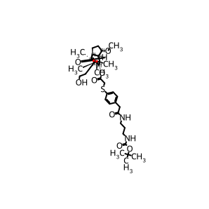 CO[C@@H]1CC[C@]23CC[C@@H](C)[C@](C)([C@H]12)[C@H](OC(=O)CSc1ccc(CC(=O)NCCCNC(=O)OC(C)(C)C)cc1)C[C@](C)(CCO)C(=O)[C@@H]3C